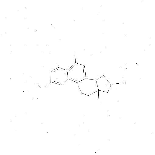 COc1ccc2c(F)cc3c(c2c1)CCC1(C)C[C@H](O)CC31